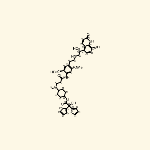 COc1cc(NC(=O)CC[As](C)C2CCC(OC(=O)C(O)(c3cccs3)c3cccs3)CC2)c(Cl)cc1CCNC[C@@H](O)c1ccc(O)c2[nH]c(=O)ccc12.F